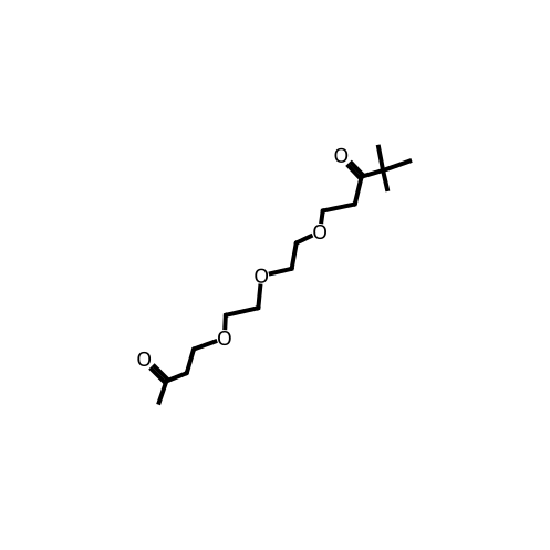 CC(=O)CCOCCOCCOCCC(=O)C(C)(C)C